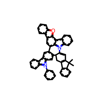 CC1CC2=C(C=C1n1c3ccccc3c3c4oc5ccccc5c4cc(-c4ccc5c(c4)c4ccccc4n5-c4ccccc4)c31)C(C)(C)c1ccccc12